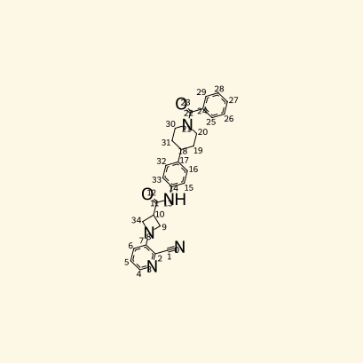 N#Cc1ncccc1N1CC(C(=O)Nc2ccc(C3CCN(C(=O)c4ccccc4)CC3)cc2)C1